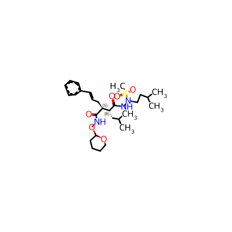 CC(C)CCN(NC(=O)[C@H](CC(C)C)[C@H](CC=Cc1ccccc1)C(=O)NOC1CCCCO1)S(C)(=O)=O